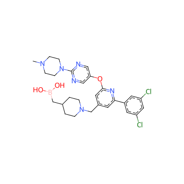 CN1CCN(c2ncc(Oc3cc(CN4CCC(CB(O)O)CC4)cc(-c4cc(Cl)cc(Cl)c4)n3)cn2)CC1